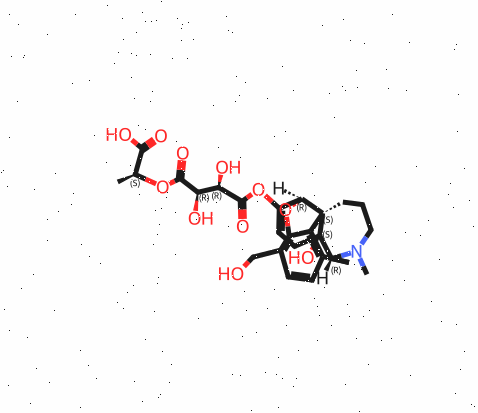 C[C@H](OC(=O)[C@H](O)[C@@H](O)C(=O)OC1=CC[C@@]2(O)[C@H]3Cc4ccc(CO)c5c4[C@@]2(CCCN3C)[C@H]1O5)C(=O)O